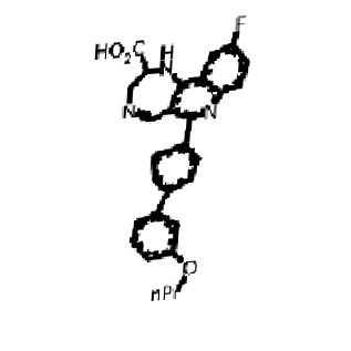 CCCOc1cccc(-c2ccc(-c3nc4ccc(F)cc4c4c3C=NCC(C(=O)O)N4)cc2)c1